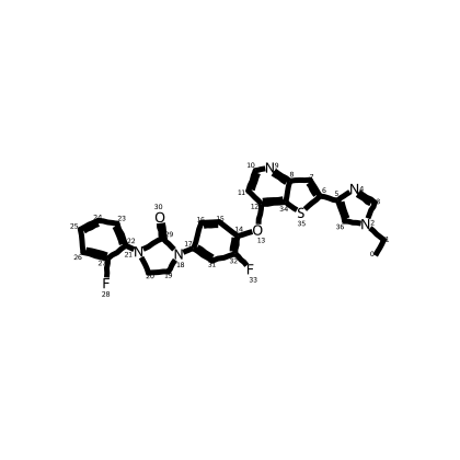 CCn1cnc(-c2cc3nccc(Oc4ccc(N5CCN(c6ccccc6F)C5=O)cc4F)c3s2)c1